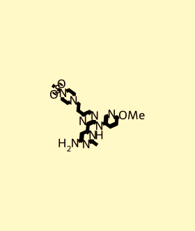 COc1ccc(Nc2ncc(CCN3CCN(S(C)(=O)=O)CC3)nc2-c2cc(N)nc(C)n2)cn1